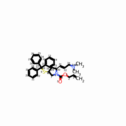 C=CCOC(=O)N1C[C@@H](SC(c2ccccc2)(c2ccccc2)c2ccccc2)C[C@H]1C=CCN(C)C